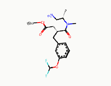 C[C@@H](CN)N(C)C(=O)[C@@H](CC(=O)OC(C)(C)C)Cc1cccc(OC(F)F)c1